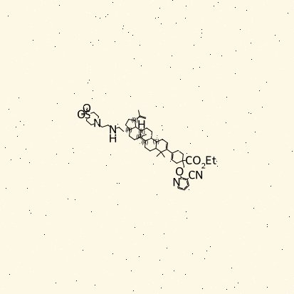 C=C(C)[C@@H]1CC[C@]2(CCNCCN3CCS(=O)(=O)CC3)CC[C@]3(C)[C@H](CCC4[C@@]5(C)CC=C(C6=CCC(COc7ncccc7C#N)(C(=O)OCC)CC6)C(C)(C)C5CC[C@]43C)C12